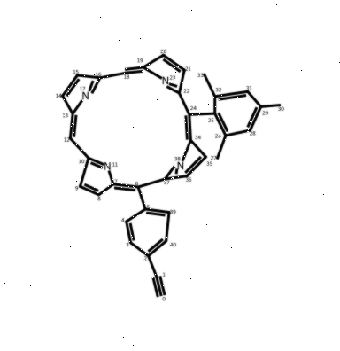 C#Cc1ccc(C2=C3C=CC(=N3)C=C3C=CC(=N3)C=C3C=CC(=N3)C(c3c(C)cc(C)cc3C)=C3C=CC2=N3)cc1